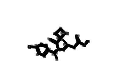 COC(=O)CCCN(C(=O)[C@@]1(C)CCN1)[C@@H](C)c1ccc(Cl)cc1